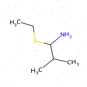 CCSC(N)[C](C)C